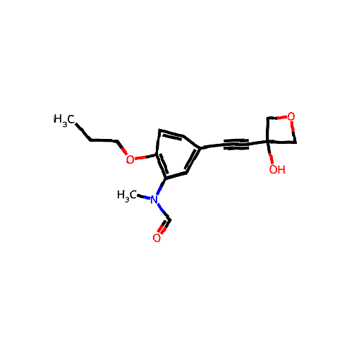 CCCOc1ccc(C#CC2(O)COC2)cc1N(C)C=O